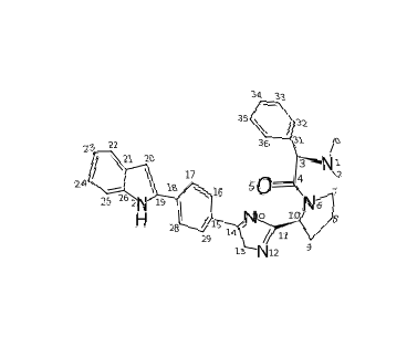 CN(C)[C@@H](C(=O)N1CCC[C@H]1C1=NCC(c2ccc(-c3cc4ccccc4[nH]3)cc2)=N1)c1ccccc1